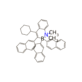 C[N+]1(C)c2ccccc2C(C2CCCCC2)=C(c2ccc3ccccc3c2)[B-]1(c1ccc2ccccc2c1)c1ccc2ccccc2c1